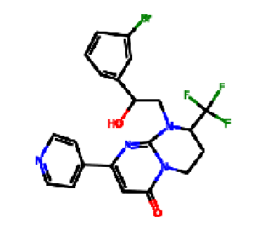 O=c1cc(-c2ccncc2)nc2n1CCC(C(F)(F)F)N2CC(O)c1cccc(Br)c1